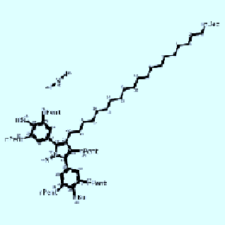 CCCCCCCCCCCCCCCCCCCCCCCCCCCCCCC1=C(c2cc(CCCCC)c(CCCC)c(CCCCC)c2)[N+](=[N-])C(c2cc(CCCCC)c(CCCC)c(CCCCC)c2)=C1CCCCC.[I][Ni][I]